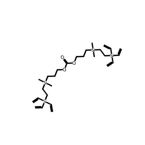 C=C[Si](C=C)(C=C)CC[Si](C)(C)CCCOC(=O)OCCC[Si](C)(C)CC[Si](C=C)(C=C)C=C